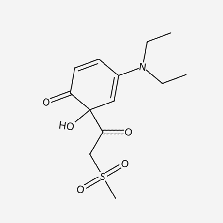 CCN(CC)C1=CC(O)(C(=O)CS(C)(=O)=O)C(=O)C=C1